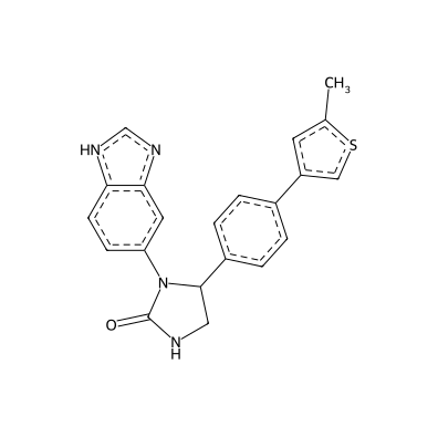 Cc1cc(-c2ccc(C3CNC(=O)N3c3ccc4[nH]cnc4c3)cc2)cs1